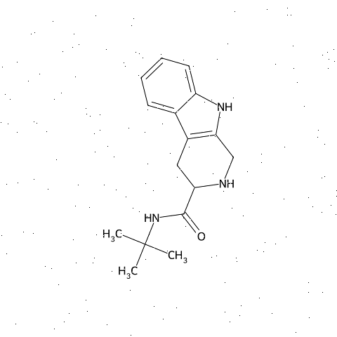 CC(C)(C)NC(=O)C1Cc2c([nH]c3ccccc23)CN1